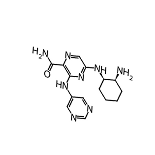 NC(=O)c1ncc(N[C@@H]2CCCC[C@@H]2N)nc1Nc1cncnc1